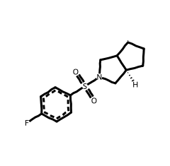 O=S(=O)(c1ccc(F)cc1)N1CC2[CH]CC[C@H]2C1